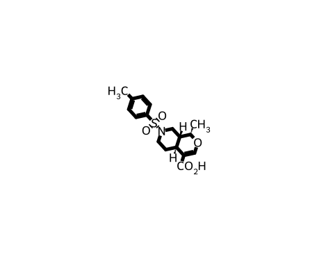 Cc1ccc(S(=O)(=O)N2CC[C@@H]3C(C(=O)O)=CO[C@@H](C)[C@H]3C2)cc1